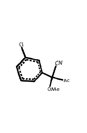 COC(C#N)(C(C)=O)c1cccc(Cl)c1